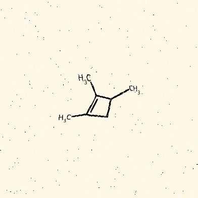 CC1=C(C)C(C)C1